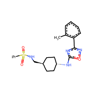 Cc1ccccc1-c1noc(N[C@H]2CC[C@H](CNS(=O)(=O)C(C)C)CC2)n1